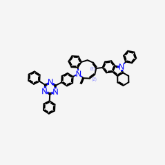 C=C1/C=C\C(c2ccc3c(c2)c2c(n3-c3ccccc3)CCC=C2)=C/Cc2ccccc2N1c1ccc(-c2nc(-c3ccccc3)nc(-c3ccccc3)n2)cc1